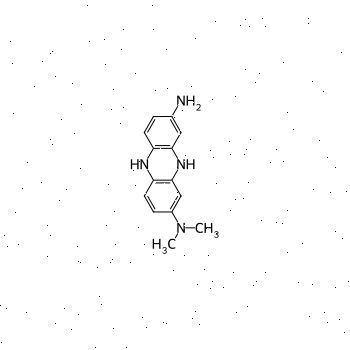 CN(C)c1ccc2c(c1)Nc1cc(N)ccc1N2